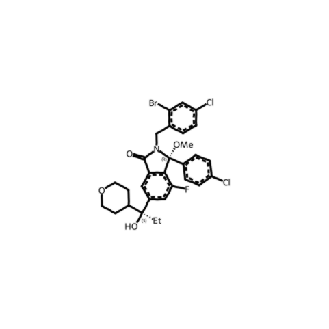 CC[C@@](O)(c1cc(F)c2c(c1)C(=O)N(Cc1ccc(Cl)cc1Br)[C@@]2(OC)c1ccc(Cl)cc1)C1CCOCC1